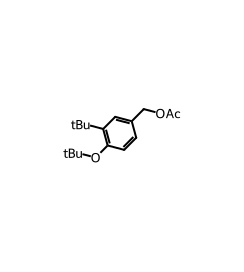 CC(=O)OCc1ccc(OC(C)(C)C)c(C(C)(C)C)c1